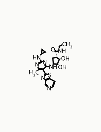 CCNC(=O)[C@H]1C[C@@H](Nc2nc(NC3CC3)nc(C)c2-c2nc3cnccc3s2)[C@H](O)[C@@H]1O